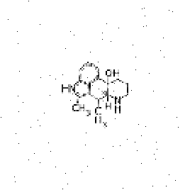 Cc1[nH]c2cccc3c2c1C(C)[C@H]1NCCCC31O